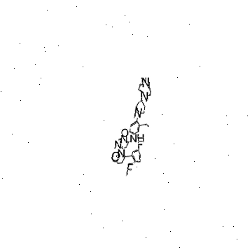 CCc1cc(Nc2cc(N3OCCC3c3cc(F)ccc3F)ncn2)c(OC)cc1N1CCC(N2CCN(C)CC2)CC1